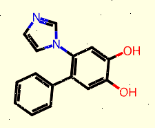 Oc1cc(-c2ccccc2)c(-n2ccnc2)cc1O